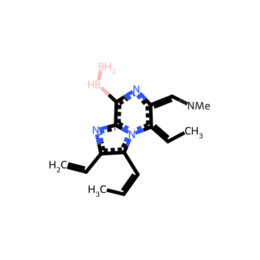 BBc1nc(=C/NC)/c(=C\C)n2c(/C=C\C)c(C=C)nc12